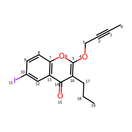 CC#CCOc1oc2ccc(I)cc2c(=O)c1CCC